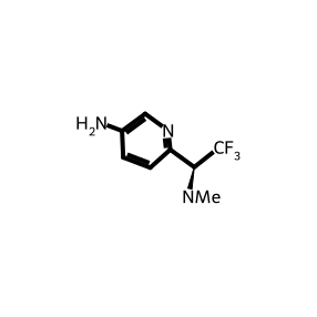 CN[C@@H](c1ccc(N)cn1)C(F)(F)F